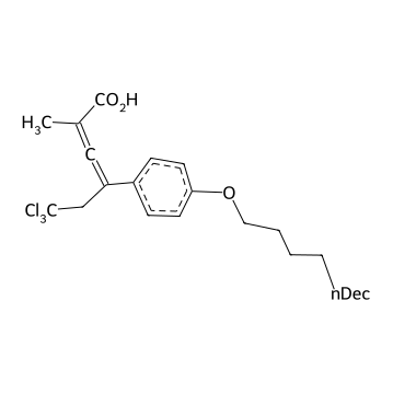 CCCCCCCCCCCCCCOc1ccc(C(=C=C(C)C(=O)O)CC(Cl)(Cl)Cl)cc1